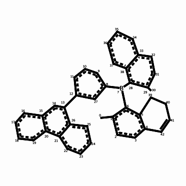 Cc1ccc2c(c1B(c1cccc(-c3cc4ccccc4c4ccccc34)c1)c1c(C)ccc3ccccc13)CCC=C2